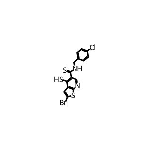 S=C(NCc1ccc(Cl)cc1)c1cnc2sc(Br)cc2c1S